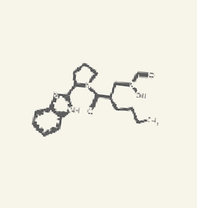 CCCCC(CN(O)C=O)C(=O)N1CCCC1c1nc2ccccc2[nH]1